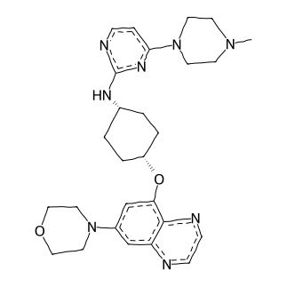 CN1CCN(c2ccnc(N[C@H]3CC[C@@H](Oc4cc(N5CCOCC5)cc5nccnc45)CC3)n2)CC1